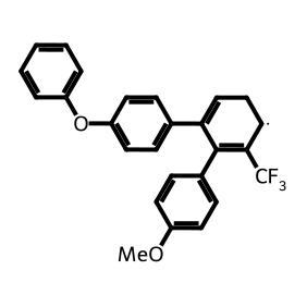 COc1ccc(C2=C(C(F)(F)F)[CH]CC=C2c2ccc(Oc3ccccc3)cc2)cc1